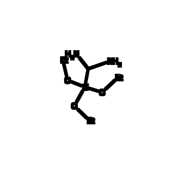 CCO[Si](OCC)(OCC)C(N)N